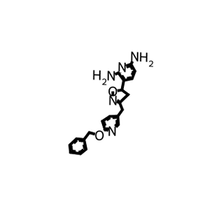 Nc1ccc(C2CC(Cc3ccc(OCc4ccccc4)nc3)=NO2)c(N)n1